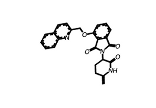 C=C1CCC(N2C(=O)c3cccc(OCc4ccc5ccccc5n4)c3C2=O)C(=O)N1